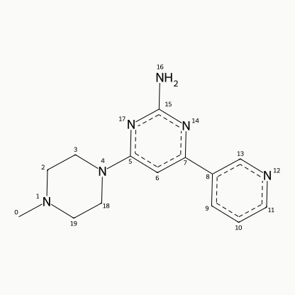 CN1CCN(c2cc(-c3cccnc3)nc(N)n2)CC1